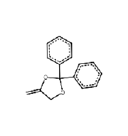 C=C1COC(c2ccccc2)(c2ccccc2)O1